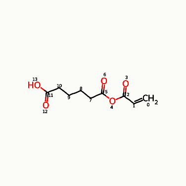 C=CC(=O)OC(=O)CCCCC(=O)O